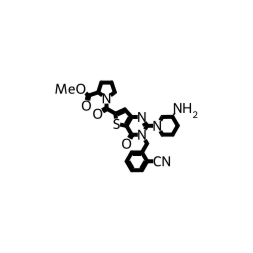 COC(=O)C1CCCN1C(=O)c1cc2nc(N3CCC[C@@H](N)C3)n(Cc3ccccc3C#N)c(=O)c2s1